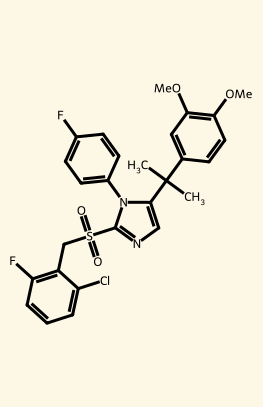 COc1ccc(C(C)(C)c2cnc(S(=O)(=O)Cc3c(F)cccc3Cl)n2-c2ccc(F)cc2)cc1OC